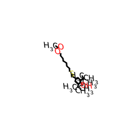 CC(=O)OCCCCCCCCSCc1cc(C(C)(C)C)c(O)c(C(C)(C)C)c1